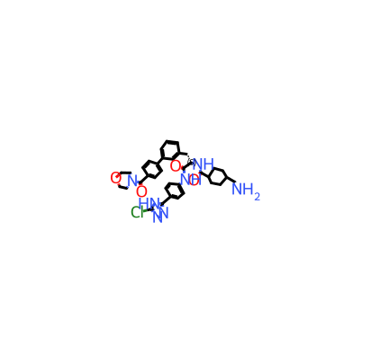 NCC1CCC(C(=O)N[C@@H](Cc2cccc(-c3ccc(C(=O)N4CCOCC4)cc3)c2)C(=O)Nc2ccc(-c3nnc(Cl)[nH]3)cc2)CC1